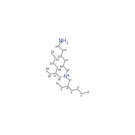 CCCCC(CC)CN(CCCCCCN)CC(CC)CCCC